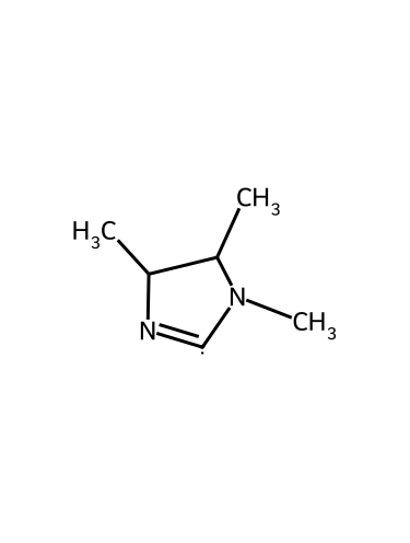 CC1N=[C]N(C)C1C